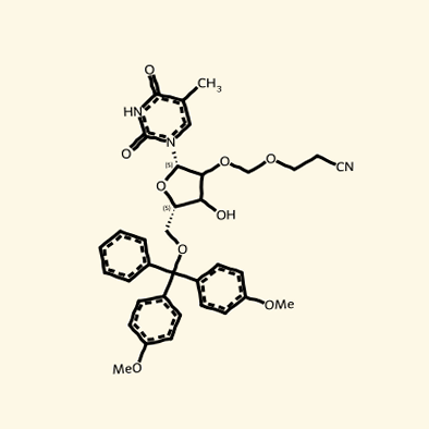 COc1ccc(C(OC[C@@H]2O[C@H](n3cc(C)c(=O)[nH]c3=O)C(OCOCCC#N)C2O)(c2ccccc2)c2ccc(OC)cc2)cc1